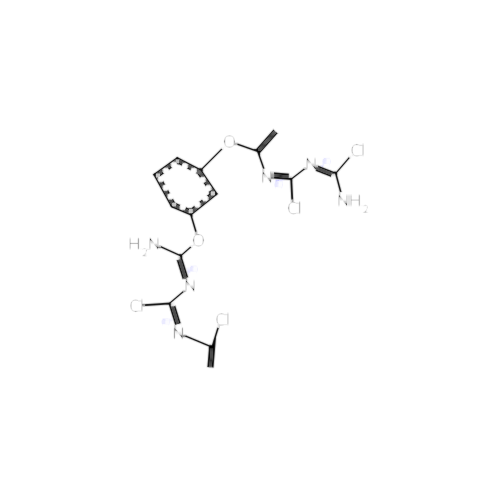 C=C(Cl)/N=C(Cl)\N=C(/N)Oc1cccc(OC(=C)/N=C(Cl)\N=C(/N)Cl)c1